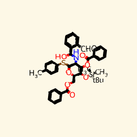 Cc1ccc(SC2OC(COC(=O)c3ccccc3)C(O[Si](C)(C)C(C)(C)C)C(OC(=O)c3ccccc3)C2NC(O)c2ccccc2C=O)cc1